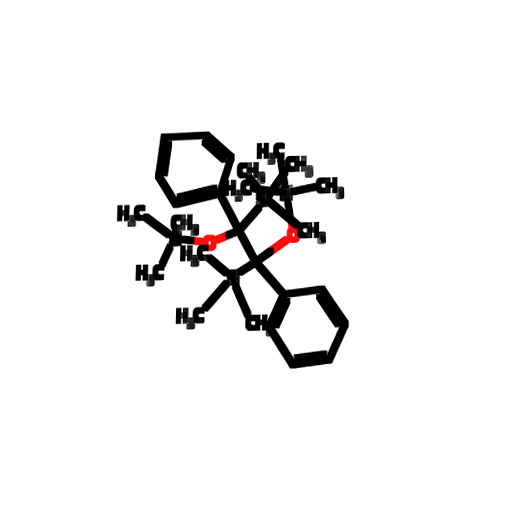 C[Si](C)(C)OC(c1ccccc1)(C(O[Si](C)(C)C)(c1ccccc1)[Si](C)(C)C)[Si](C)(C)C